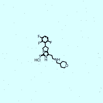 Cl.Fc1ccc(F)c(C2Cc3c(CCNCC4CCOCC4)[nH]c(=S)n3C2)c1F